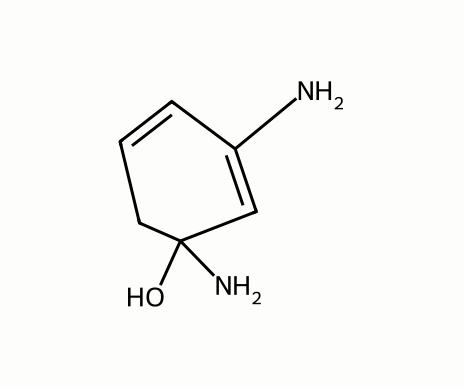 NC1=CC(N)(O)CC=C1